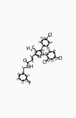 Cc1c(/C=C/C(=O)NCc2cccc(F)c2)nn(-c2ccc(Cl)cc2Cl)c1-c1ccc(Cl)cc1